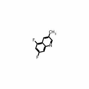 Cc1cnc2cc(F)cc(F)c2c1